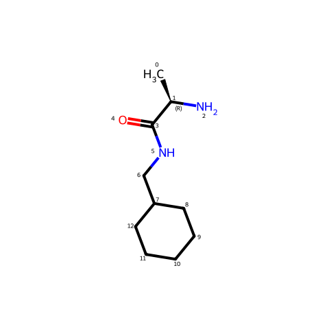 C[C@@H](N)C(=O)NCC1CCCCC1